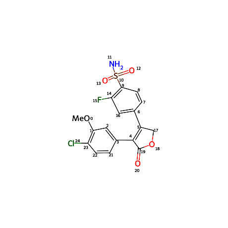 COc1cc(C2=C(c3ccc(S(N)(=O)=O)c(F)c3)COC2=O)ccc1Cl